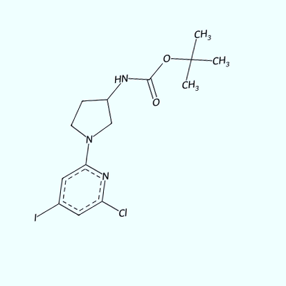 CC(C)(C)OC(=O)NC1CCN(c2cc(I)cc(Cl)n2)C1